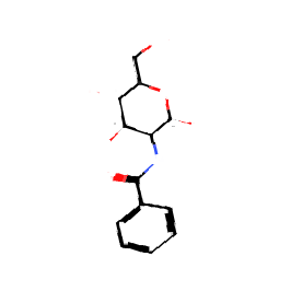 O=C(NC1[C@H](O)OC(CO)[C@@H](O)[C@@H]1O)c1ccccc1